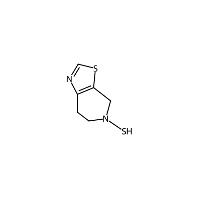 SN1CCc2ncsc2C1